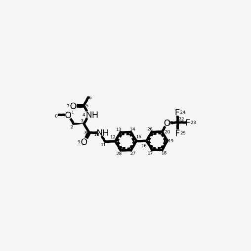 COC[C@@H](NC(C)=O)C(=O)NCc1ccc(-c2cccc(OC(F)(F)F)c2)cc1